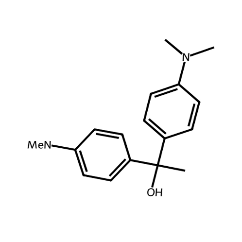 CNc1ccc(C(C)(O)c2ccc(N(C)C)cc2)cc1